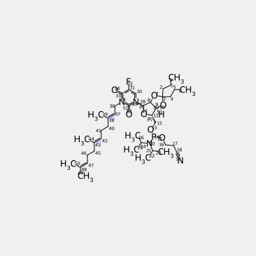 CCCC1(CCC)OC2[C@@H](O1)[C@@H](COP(OCCC#N)N(C(C)C)C(C)C)O[C@H]2n1cc(F)c(=O)n(C/C=C(\C)CC/C=C(\C)CCC=C(C)C)c1=O